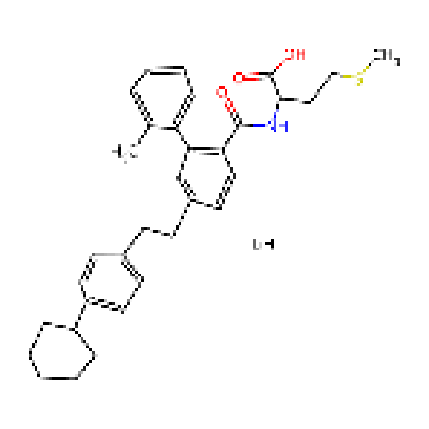 CSCCC(NC(=O)c1ccc(CCc2ccc(C3CCCCC3)cc2)cc1-c1ccccc1C)C(=O)O.[LiH]